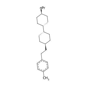 CCC[C@H]1CC[C@H]([C@H]2CC[C@H](CCc3ccc(C)cc3)CC2)CC1